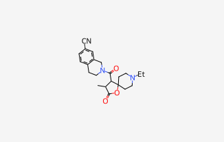 CCN1CCC2(CC1)OC(=O)C(C)C2C(=O)N1CCc2ccc(C#N)cc2C1